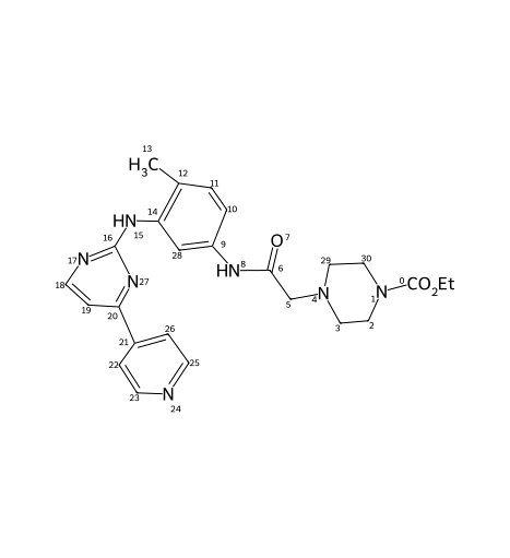 CCOC(=O)N1CCN(CC(=O)Nc2ccc(C)c(Nc3nccc(-c4ccncc4)n3)c2)CC1